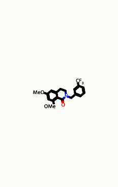 COc1cc2c(c(OC)c1)C(=O)N(Cc1cccc(C(F)(F)F)c1)CC2